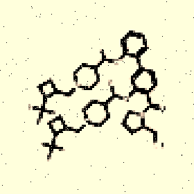 O=C(c1ccc(-c2ccccc2OC(F)C2CCN(CC3CCC3C(F)(F)F)CC2)cc1OC(F)C1CCN(CC2CCC2C(F)(F)F)CC1)N1CCCC1CO